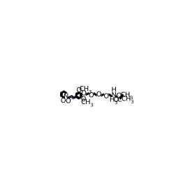 COc1cc(/C=C/C(=O)N2CCC=CC2=O)cc(OC)c1OCCOCCOCCOCCNC(=O)OC(C)(C)C